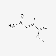 COC(=O)C(C)=CC(N)=O